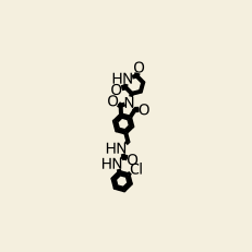 O=C1CCC(N2C(=O)c3ccc(CNC(=O)Nc4ccccc4Cl)cc3C2=O)C(=O)N1